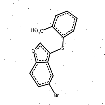 O=C(O)c1ccccc1Sc1coc2ccc(Br)cc12